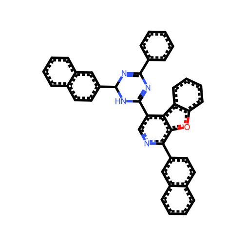 c1ccc(C2=NC(c3ccc4ccccc4c3)NC(c3cnc(-c4ccc5ccccc5c4)c4oc5ccccc5c34)=N2)cc1